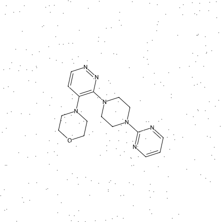 c1cnc(N2CCN(c3nnccc3N3CCOCC3)CC2)nc1